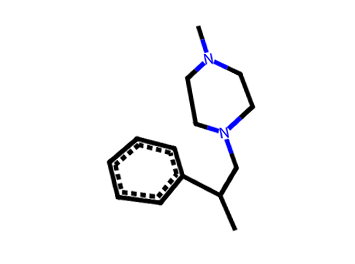 CC(CN1CCN(C)CC1)c1ccccc1